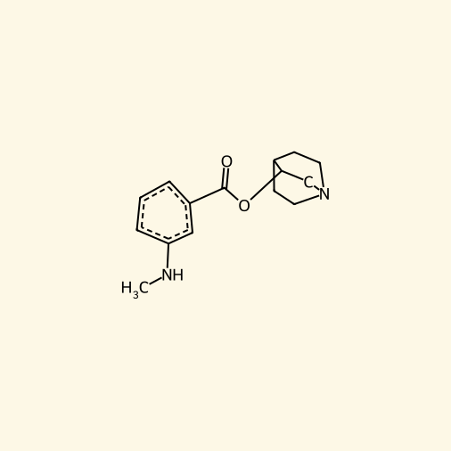 CNc1cccc(C(=O)OC2CN3CCC2CC3)c1